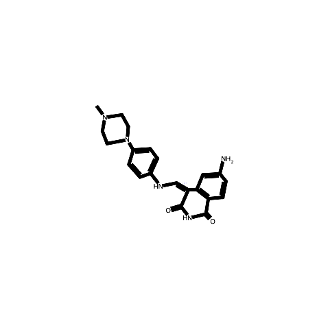 CN1CCN(c2ccc(N/C=C3\C(=O)NC(=O)c4ccc(N)cc43)cc2)CC1